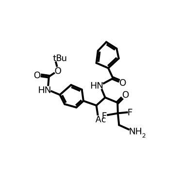 CC(=O)C(c1ccc(NC(=O)OC(C)(C)C)cc1)C(NC(=O)c1ccccc1)C(=O)C(F)(F)CN